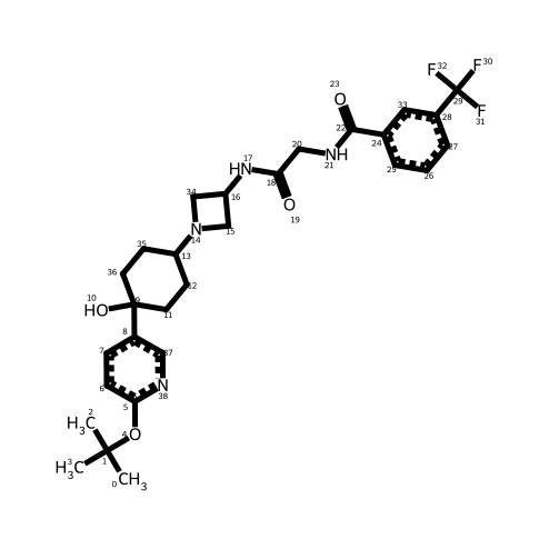 CC(C)(C)Oc1ccc(C2(O)CCC(N3CC(NC(=O)CNC(=O)c4cccc(C(F)(F)F)c4)C3)CC2)cn1